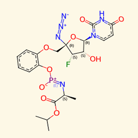 CC(C)OC(=O)[C@H](C)/N=[P+](\[O-])Oc1ccccc1OC[C@@]1(N=[N+]=[N-])O[C@@H](n2ccc(=O)[nH]c2=O)[C@H](O)[C@@H]1F